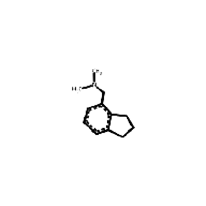 CN(C)Cc1cccc2c1CCC2